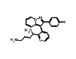 NCCCC(N)c1ncccc1-c1c(-c2ccc(F)cc2)nn2ccccc12